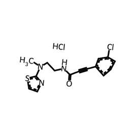 CN(CCNC(=O)C#Cc1cccc(Cl)c1)c1nccs1.Cl